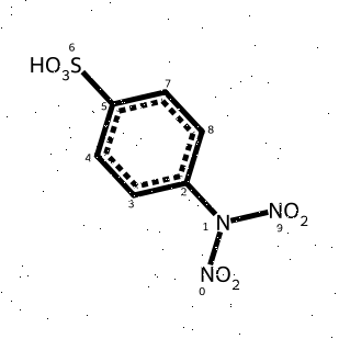 O=[N+]([O-])N(c1ccc(S(=O)(=O)O)cc1)[N+](=O)[O-]